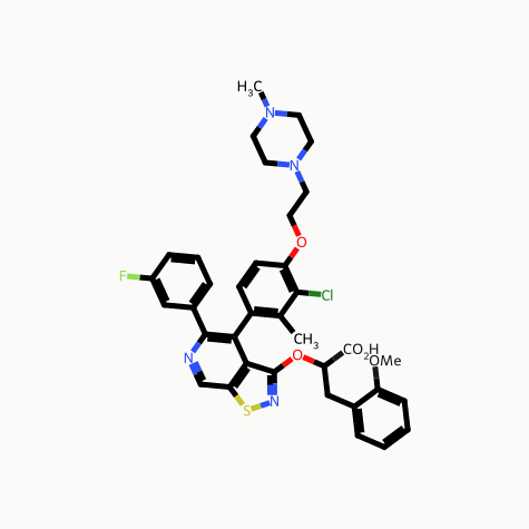 COc1ccccc1CC(Oc1nsc2cnc(-c3cccc(F)c3)c(-c3ccc(OCCN4CCN(C)CC4)c(Cl)c3C)c12)C(=O)O